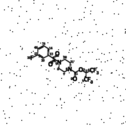 O=C(OC(C(F)(F)F)C(F)(F)F)N1CCN(S(=O)(=O)c2cccc(F)c2)CC1